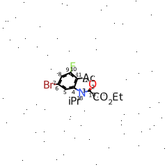 CCOC(=O)C(=O)N(c1cc(Br)cc(F)c1C(C)=O)C(C)C